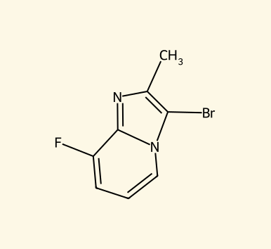 Cc1nc2c(F)cccn2c1Br